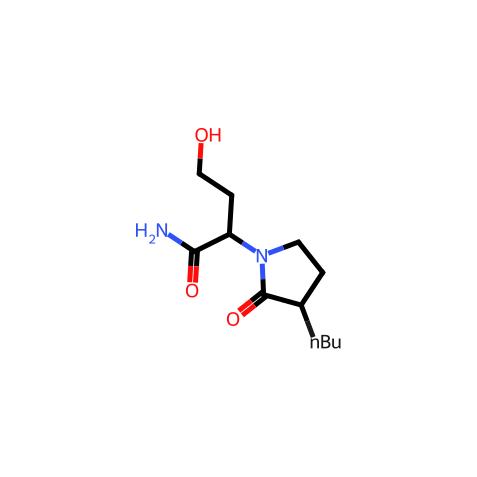 CCCCC1CCN(C(CCO)C(N)=O)C1=O